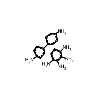 Nc1ccc(-c2ccc(N)cc2)cc1.Nc1ccc(N)c(N)c1N